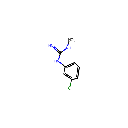 N=C(Nc1cccc(Cl)c1)N[N+](=O)[O-]